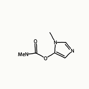 CNC(=O)Oc1cncn1C